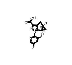 O=C(O)c1nn(-c2ncc(F)cc2F)c2c1C[C@H]1C[C@@H]21